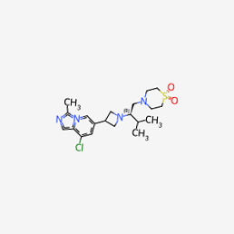 Cc1ncc2c(Cl)cc(C3CN([C@@H](CN4CCS(=O)(=O)CC4)C(C)C)C3)cn12